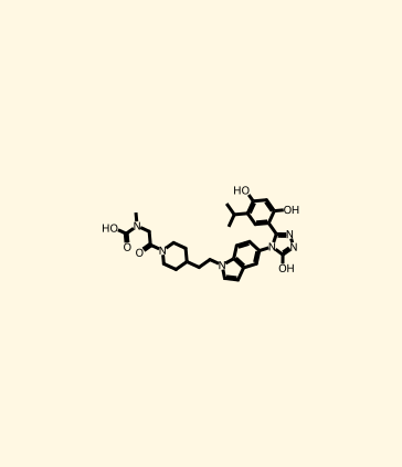 CC(C)c1cc(-c2nnc(O)n2-c2ccc3c(ccn3CCC3CCN(C(=O)CN(C)C(=O)O)CC3)c2)c(O)cc1O